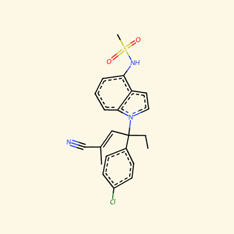 CCC(C=C(C)C#N)(c1ccc(Cl)cc1)n1ccc2c(NS(C)(=O)=O)cccc21